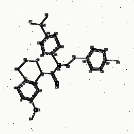 COc1ccc2c(c1)C(C(=O)N(CCc1ccc(C)cc1)c1ccc(C(C)C)cc1)CCC2